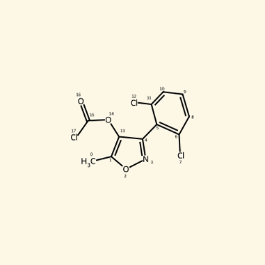 Cc1onc(-c2c(Cl)cccc2Cl)c1OC(=O)Cl